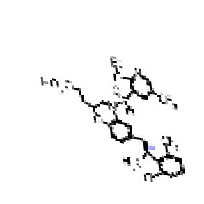 CCOc1ncc(C(F)(F)F)cc1S(=O)(=O)N1CC(CCC(=O)O)Oc2ccc(/C=C(\C)c3c(Cl)cccc3C(F)(F)F)cc21